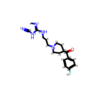 C/N=C(\NC#N)NCCCN1CCC(C(=O)c2ccc(F)cc2)CC1